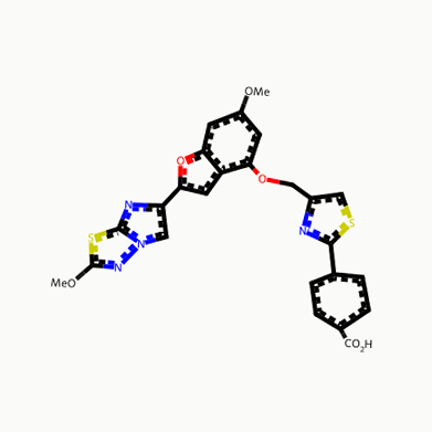 COc1cc(OCc2csc(-c3ccc(C(=O)O)cc3)n2)c2cc(-c3cn4nc(OC)sc4n3)oc2c1